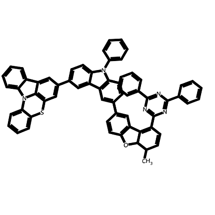 CC1C=CC(c2nc(-c3ccccc3)nc(-c3ccccc3)n2)=C2c3cc(-c4ccc5c(c4)c4cc(-c6cc7c8c(c6)c6ccccc6n8-c6ccccc6S7)ccc4n5-c4ccccc4)ccc3OC21